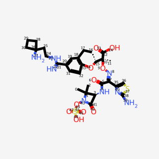 CC1(C)[C@H](NC(=O)/C(=N\O[C@](C)(C(=O)O)[C@H]2CCc3cc(C(=N)NCCC4(N)CCC4)ccc3O2)c2csc(N)n2)C(=O)N1OS(=O)(=O)O